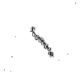 CCC(=O)OCCCCOc1ccc(C(=O)Oc2ccc(C(=O)Oc3ccc(OC(=O)c4ccc(OC(=O)c5ccc(OCCCCOC(=O)CC)cc5)cc4)cc3)cc2)cc1